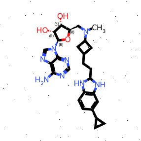 CN(C[C@H]1O[C@@H](n2cnc3c(N)ncnc32)[C@H](O)[C@@H]1O)C1CC(CCC2Nc3ccc(C4CC4)cc3N2)C1